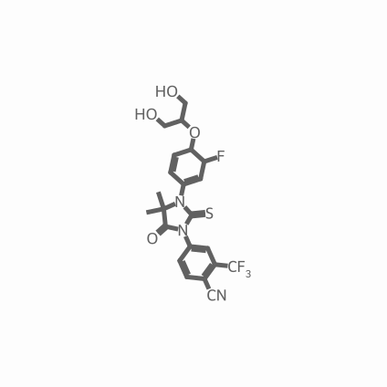 CC1(C)C(=O)N(c2ccc(C#N)c(C(F)(F)F)c2)C(=S)N1C1=CC(F)C(OC(CO)CO)C=C1